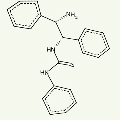 N[C@@H](c1ccccc1)[C@@H](NC(=S)Nc1ccccc1)c1ccccc1